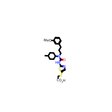 COc1cccc(CCCN(C(=O)Nc2ncc(SCC(=O)O)s2)C2CCC(C)CC2)c1